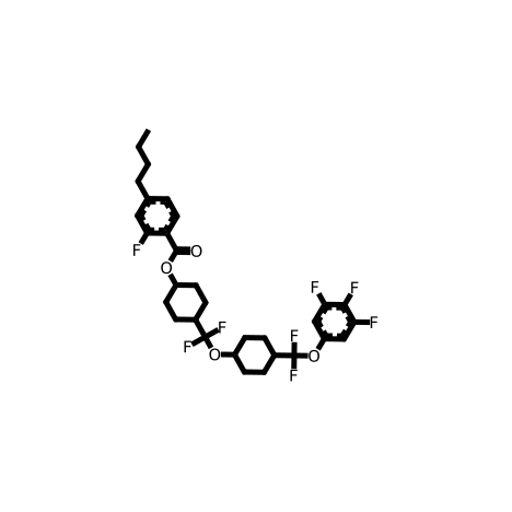 CCCCc1ccc(C(=O)OC2CCC(C(F)(F)OC3CCC(C(F)(F)Oc4cc(F)c(F)c(F)c4)CC3)CC2)c(F)c1